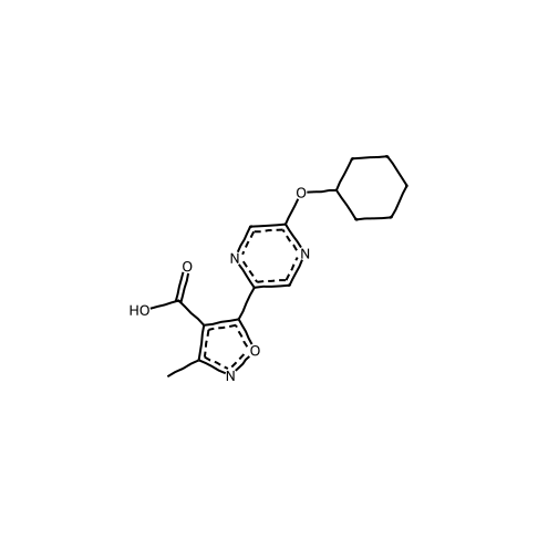 Cc1noc(-c2cnc(OC3CCCCC3)cn2)c1C(=O)O